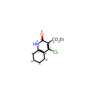 CCOC(=O)c1c(Cl)c2c([nH]c1=O)CCCC2